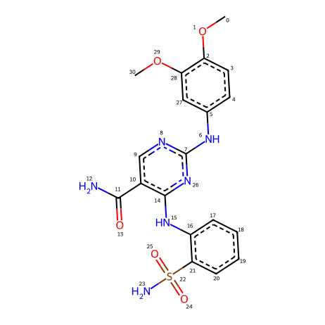 COc1ccc(Nc2ncc(C(N)=O)c(Nc3ccccc3S(N)(=O)=O)n2)cc1OC